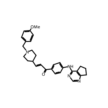 COc1ccc(CN2CCC(C=CC(=O)c3ccc(Nc4ncnc5c4CCC5)cc3)CC2)cc1